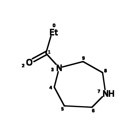 CCC(=O)N1CCCNCC1